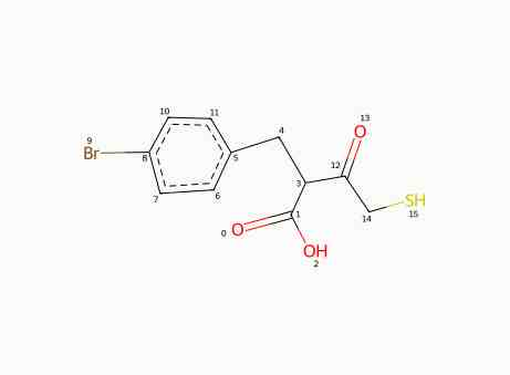 O=C(O)C(Cc1ccc(Br)cc1)C(=O)CS